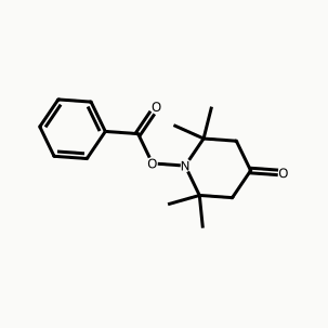 CC1(C)CC(=O)CC(C)(C)N1OC(=O)c1ccccc1